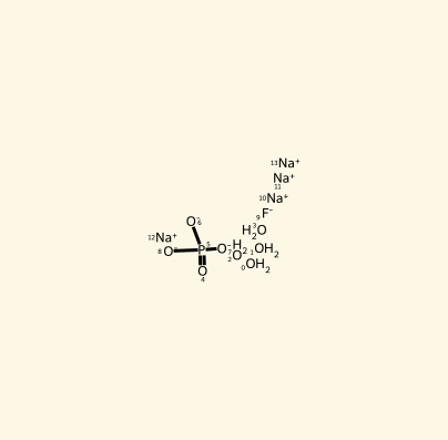 O.O.O.O.O=P([O-])([O-])[O-].[F-].[Na+].[Na+].[Na+].[Na+]